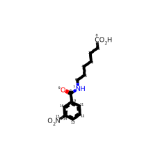 O=C(O)CCCCCCNC(=O)c1cccc([N+](=O)[O-])c1